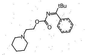 CC(C)(C)/C(=N/C(=O)OCCN1CCCCC1)c1ccccc1